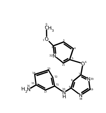 COc1ccc(Oc2cc(Nc3cccc(N)c3)ncn2)cn1